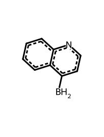 Bc1ccnc2ccccc12